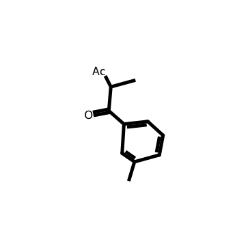 CC(=O)C(C)C(=O)c1cccc(C)c1